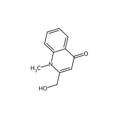 Cn1c(CO)cc(=O)c2ccccc21